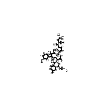 Cc1ccc(C(=O)N(CCN)C(c2nc3c(oc4ccc(F)cc43)c(=O)n2Cc2ccc(C(=O)NCC(F)F)s2)C(C)C)cc1